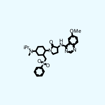 COc1ccc2ncnc(NC3CCN(C4CCC(N(C)C(C)C)CC4CS(=O)(=O)c4ccccc4)C3=O)c2c1